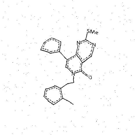 CSc1ncc2c(=O)n(Cc3ccccc3C)cc(-c3ccccc3)c2n1